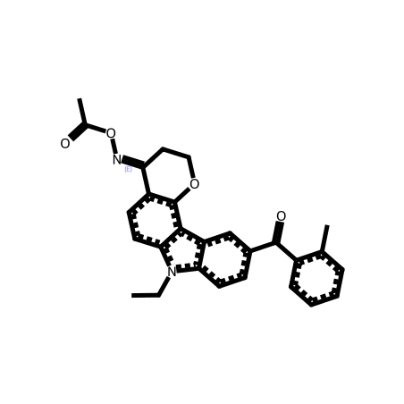 CCn1c2ccc(C(=O)c3ccccc3C)cc2c2c3c(ccc21)/C(=N/OC(C)=O)CCO3